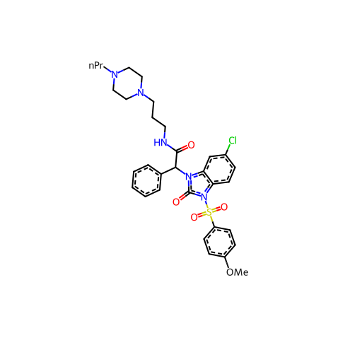 CCCN1CCN(CCCNC(=O)C(c2ccccc2)n2c(=O)n(S(=O)(=O)c3ccc(OC)cc3)c3ccc(Cl)cc32)CC1